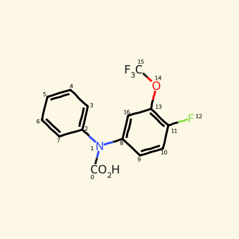 O=C(O)N(c1ccccc1)c1ccc(F)c(OC(F)(F)F)c1